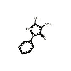 Cc1[nH]n(-c2ccccc2)c(=O)c1S(=O)(=O)O